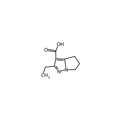 CCc1nn2c(c1C(=O)O)CCC2